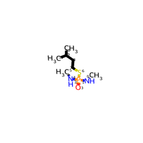 CNP(=O)(NC)SCCC(C)C